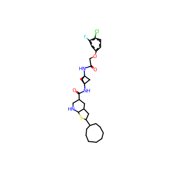 O=C(COc1ccc(Cl)c(F)c1)NC12CC(NC(=O)C3CNC4SC(C5CCCCCCCC5)CC4C3)(C1)C2